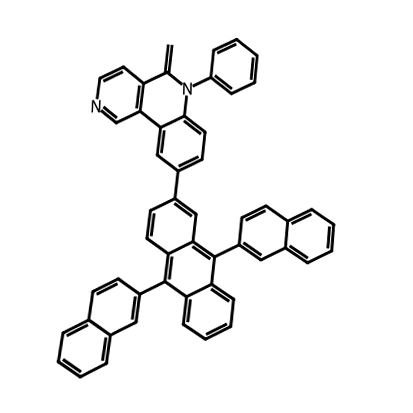 C=C1c2ccncc2-c2cc(-c3ccc4c(-c5ccc6ccccc6c5)c5ccccc5c(-c5ccc6ccccc6c5)c4c3)ccc2N1c1ccccc1